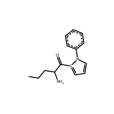 [CH2]CCC(N)C(=O)S1=CC=CN1c1ccccc1